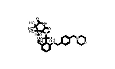 CN(C(O)(O)c1c(C=O)cccc1NCc1ccc(CN2CCOCC2)cc1)C1(O)C(=O)NC(=O)C(O)(O)C1(O)O